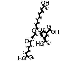 O=C(O)CCCCCCCC(=O)OCCOC(=O)CCCCC(=O)O.O=C(O)c1cccc(C(=O)O)c1